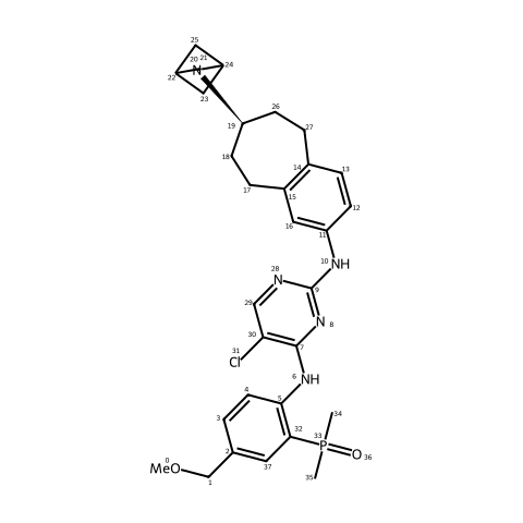 COCc1ccc(Nc2nc(Nc3ccc4c(c3)CC[C@@H](N3CC5CC3C5)CC4)ncc2Cl)c(P(C)(C)=O)c1